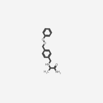 CC(NCc1ccc(COOc2ccccc2)cc1)C(N)=O